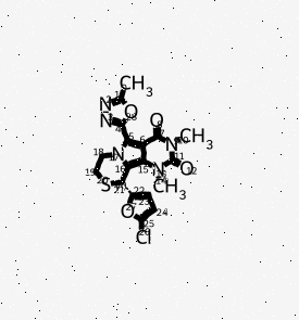 Cc1nnc(-c2c3c(=O)n(C)c(=O)n(C)c3c3n2CCS[C@H]3c2ccc(Cl)o2)o1